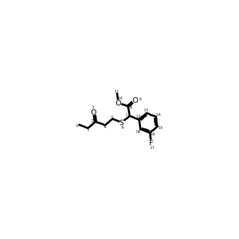 CCC(=O)CCSC(C(=O)OC)c1cccc(F)c1